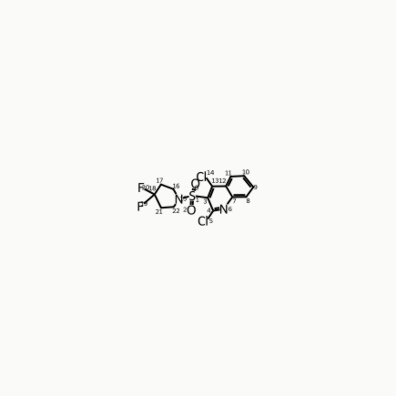 O=S(=O)(c1c(Cl)nc2ccccc2c1Cl)N1CCC(F)(F)CC1